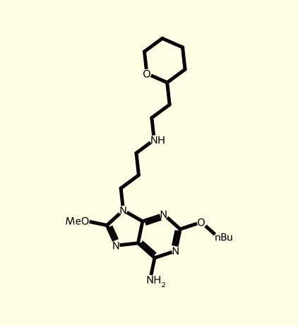 CCCCOc1nc(N)c2nc(OC)n(CCCNCCC3CCCCO3)c2n1